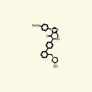 COc1ccc(-n2cnc3c2C(=O)C(c2ccc(-c4ccccc4CN4CC[C@H](O)C4)cc2)NC3)cc1